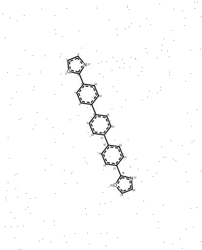 c1coc(-c2ccc(-c3ccc(-c4ccc(-c5ncco5)cc4)cc3)cc2)n1